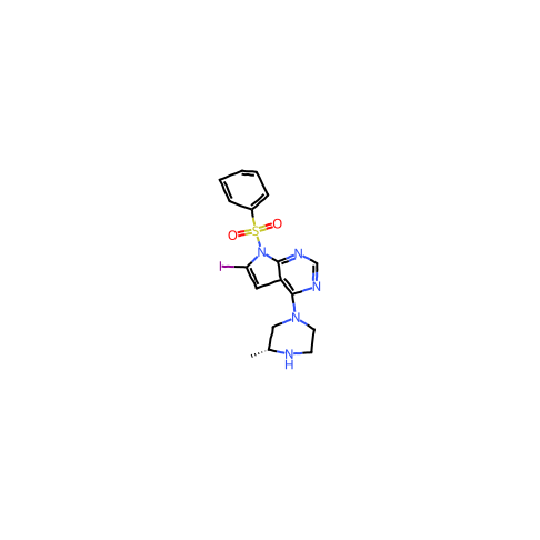 C[C@@H]1CN(c2ncnc3c2cc(I)n3S(=O)(=O)c2ccccc2)CCN1